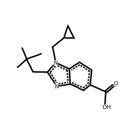 CC(C)(C)Cc1nc2cc(C(=O)O)ccc2n1CC1CC1